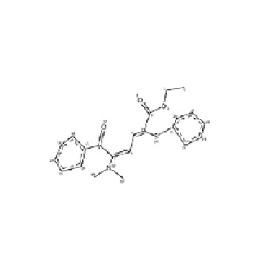 CCOC(=O)/C(=C/C=C(\C(=O)c1ccccc1)N(C)C)Sc1ccccc1